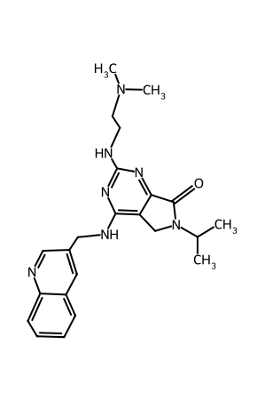 CC(C)N1Cc2c(NCc3cnc4ccccc4c3)nc(NCCN(C)C)nc2C1=O